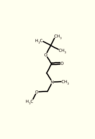 COCN(C)CC(=O)OC(C)(C)C